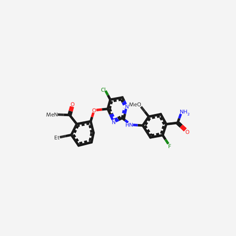 CCc1cccc(Oc2nc(Nc3cc(F)c(C(N)=O)cc3OC)ncc2Cl)c1C(=O)NC